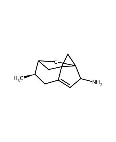 C[C@@H]1CC2=CC(N)C34CC1CC23C4